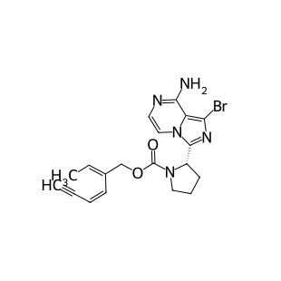 C#C/C=C\C(=C/C)COC(=O)N1CCC[C@H]1c1nc(Br)c2c(N)nccn12